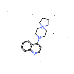 c1ccc2c(N3CC[N+]4(CCCC4)CC3)ccnc2c1